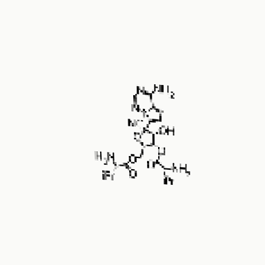 CC(C)[C@H](N)C(=O)OC[C@H]1O[C@@](C#N)(c2ccc3c(N)ncnn23)[C@H](O)[C@@H]1OC(=O)[C@@H](N)C(C)C